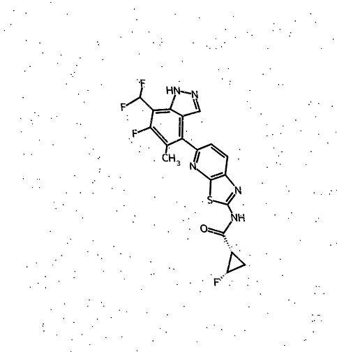 Cc1c(F)c(C(F)F)c2[nH]ncc2c1-c1ccc2nc(NC(=O)[C@@H]3C[C@@H]3F)sc2n1